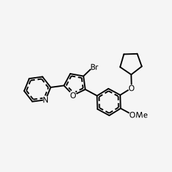 COc1ccc(-c2oc(-c3ccccn3)cc2Br)cc1OC1CCCC1